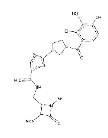 C=C(NCC1C(NC)C(=O)N1S)c1cnc(C2CCN(C(=O)c3ccc(O)c(O)c3Cl)C2)s1